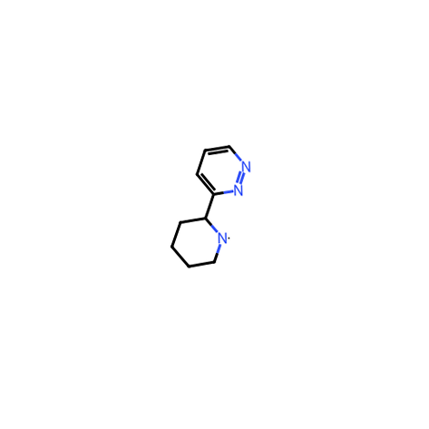 c1cnnc(C2CCCC[N]2)c1